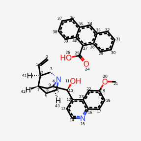 C=C[C@H]1C[N@]2CC[C@H]1C[C@@H]2[C@@H](O)c1ccnc2ccc(OC)cc12.O=C(O)c1c2ccccc2cc2ccccc12